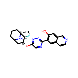 C[C@]12CCCC(C[C@@H](Oc3cnc(-c4cc5ccncc5cc4O)nn3)[C@@H]1F)N2